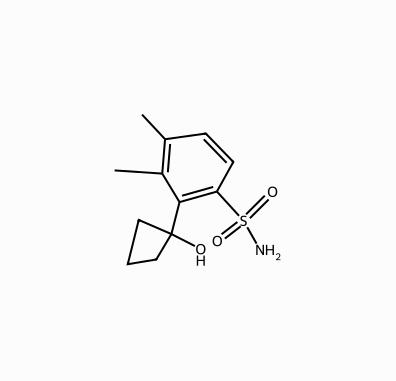 Cc1ccc(S(N)(=O)=O)c(C2(O)CCC2)c1C